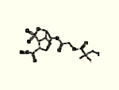 COC(=O)C1C2CC3C(OS(=O)(=O)C31)C2OC(=O)COC(=O)C(C)(I)CI